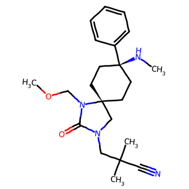 CN[C@]1(c2ccccc2)CC[C@@]2(CC1)CN(CC(C)(C)C#N)C(=O)N2COC